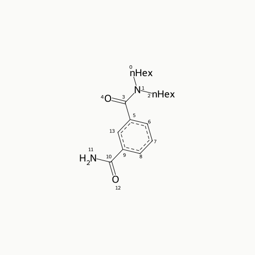 CCCCCCN(CCCCCC)C(=O)c1cccc(C(N)=O)c1